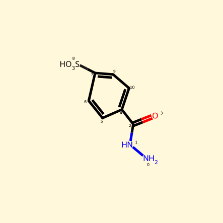 NNC(=O)c1ccc(S(=O)(=O)O)cc1